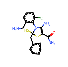 NCc1cccc(Cl)c1N1C(N)=C(C(N)=O)SC1(S)Cc1ccccc1